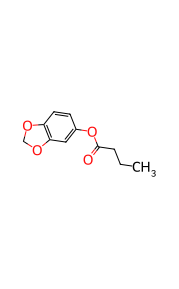 CCCC(=O)Oc1ccc2c(c1)OCO2